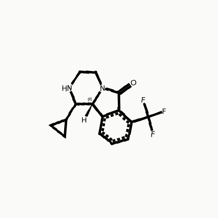 O=C1c2c(cccc2C(F)(F)F)[C@@H]2C(C3CC3)NCCN12